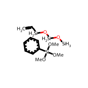 C=C[SiH2]O[SiH2]O[SiH3].CO[Si](OC)(OC)c1ccccc1